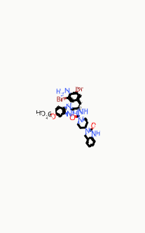 Nc1c(Br)cc(C[C@@H](NC(=O)N2CCC(N3Cc4ccccc4NC3=O)CC2)c2nc3ccc(OC(=O)O)cc3[nH]2)cc1Br